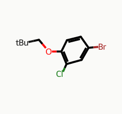 CC(C)(C)COc1ccc(Br)cc1Cl